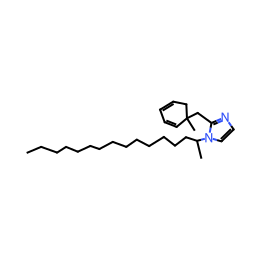 CCCCCCCCCCCCCCC(C)n1ccnc1CC1(C)C=CC=CC1